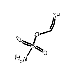 N=COS(N)(=O)=O